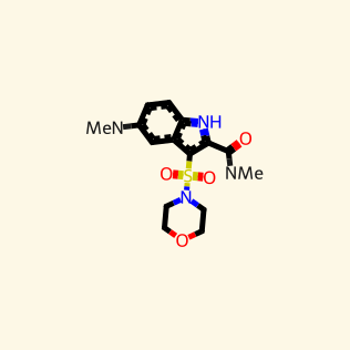 CNC(=O)c1[nH]c2ccc(NC)cc2c1S(=O)(=O)N1CCOCC1